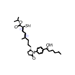 CCCCC[C@H](O)c1ccc(N2C(=O)CC[C@@H]2CCC/C(C)=C/C=C(\S)C(=O)OC(C)C)cc1